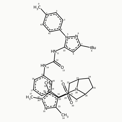 Cc1ccc(-n2nc(C(C)(C)C)cc2NC(=O)Nc2cccc(CC3CC4CCC(C3)N4S(=O)(=O)c3c(C)nn(C)c3C)c2)cc1